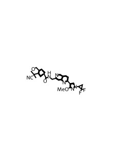 COc1nn(C2CC2(F)F)cc1-c1ccc2cnc(CNC(=O)c3ccc4c(c3)[C@](C)(C#N)COC4)cc2n1